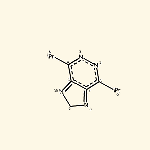 CC(C)c1nnc(C(C)C)c2c1=NCN=2